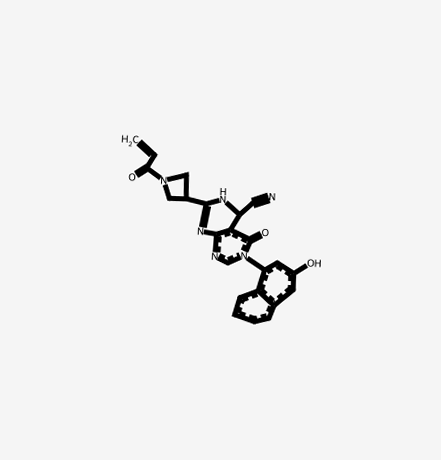 C=CC(=O)N1CC(C2=Nc3ncn(-c4cc(O)cc5ccccc45)c(=O)c3C(C#N)N2)C1